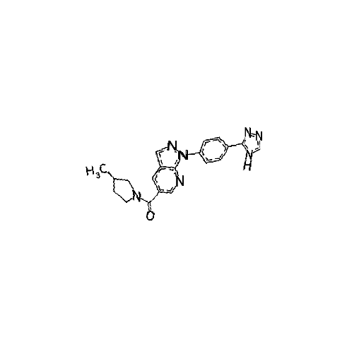 C[C@@H]1CCN(C(=O)c2cnc3c(cnn3-c3ccc(-c4nnc[nH]4)cc3)c2)C1